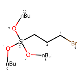 CCCCO[Si](CCCBr)(OCCCC)OCCCC